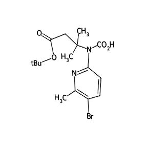 Cc1nc(N(C(=O)O)C(C)(C)CC(=O)OC(C)(C)C)ccc1Br